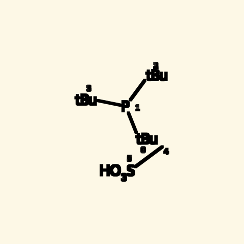 CC(C)(C)P(C(C)(C)C)C(C)(C)C.CS(=O)(=O)O